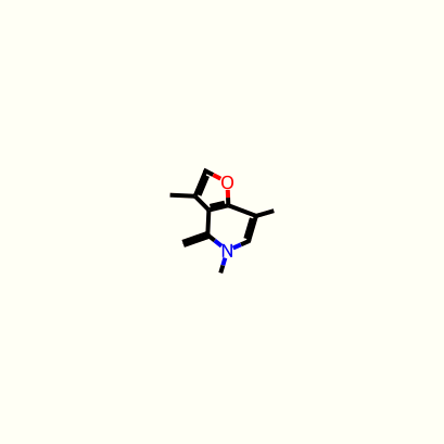 C=C1c2c(C)coc2C(C)=CN1C